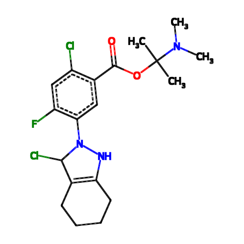 CN(C)C(C)(C)OC(=O)c1cc(N2NC3=C(CCCC3)C2Cl)c(F)cc1Cl